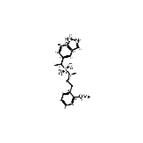 COc1ccccc1CCN(C)S(=O)(=O)C(C)c1ccc2[nH]ncc2c1